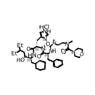 CCC(CC)C[C@H](O)[C@H](CC1CCCCC1)NC(=O)[C@H](Cc1c[nH]cn1)N(C)C(=O)[C@H](Cc1ccccc1)NC(=O)N(C)CCN(C)C(=O)N1CCOCC1.Cl